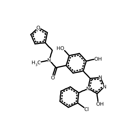 CN(Cc1ccoc1)C(=O)c1cc(-c2nnc(O)n2-c2ccccc2Cl)c(O)cc1O